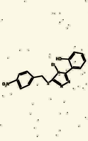 CCn1c(SCc2ccc([N+](=O)[O-])cc2)nnc1-c1ccccc1O